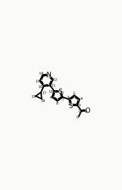 CC(=O)c1ccc(-c2ccc(-c3cnccc3C3CC3)s2)s1